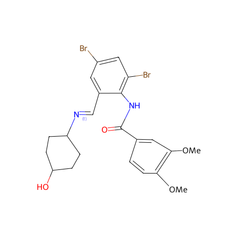 COc1ccc(C(=O)Nc2c(Br)cc(Br)cc2/C=N/C2CCC(O)CC2)cc1OC